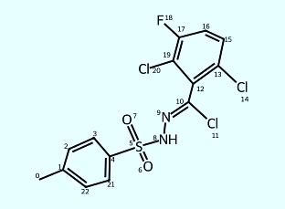 Cc1ccc(S(=O)(=O)NN=C(Cl)c2c(Cl)ccc(F)c2Cl)cc1